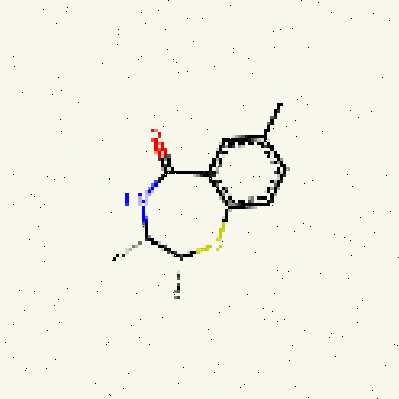 Cc1ccc2c(c1)C(=O)N[C@@H](C)[C@@H](C)S2